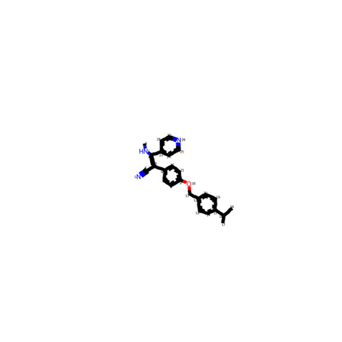 CN/C(=C(\C#N)c1ccc(OCc2ccc(C(C)C)cc2)cc1)c1ccncc1